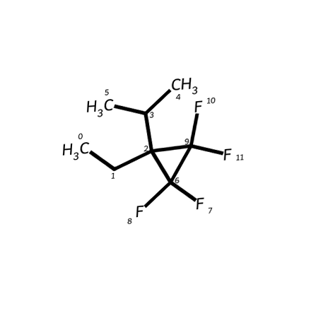 CCC1(C(C)C)C(F)(F)C1(F)F